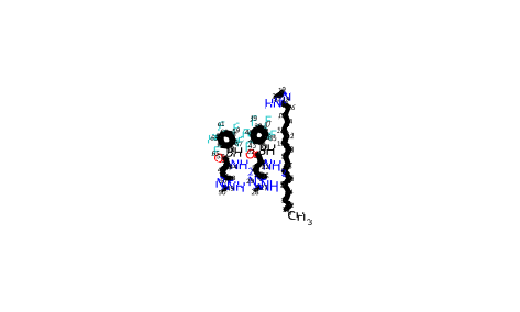 CCCCCCCCCCCCCCCCCc1ncc[nH]1.N[C@@H](Cc1c[nH]cn1)C(=O)Bc1c(F)c(F)c(F)c(F)c1F.N[C@@H](Cc1c[nH]cn1)C(=O)Bc1c(F)c(F)c(F)c(F)c1F